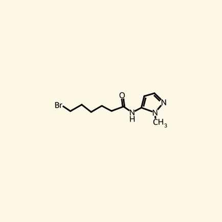 Cn1nccc1NC(=O)CCCCCBr